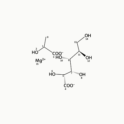 CC(O)C(=O)[O-].O=C([O-])[C@H](O)[C@@H](O)[C@H](O)[C@H](O)CO.[Mg+2]